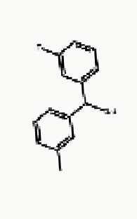 Cc1cccc(C(c2cccc(F)c2)C(C)(C)C)c1